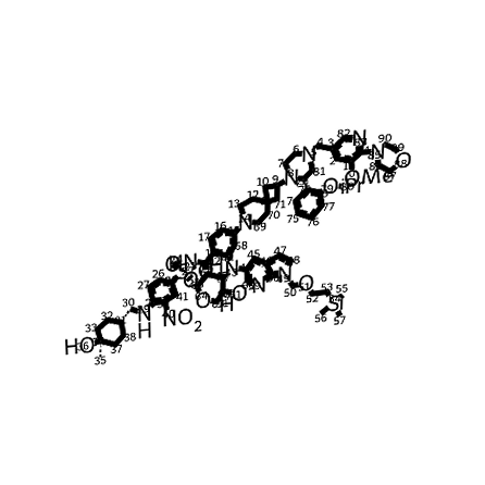 COc1cc(CN2CCN(C3CC4(CCN(c5ccc(C(=O)NS(=O)(=O)c6ccc(NC[C@H]7CC[C@](C)(O)CC7)c([N+](=O)[O-])c6)c(N6c7cc8ccn(COCC[Si](C)(C)C)c8nc7O[C@H]7COCC[C@@H]76)c5)CC4)C3)[C@@H](c3ccccc3OC(C)C)C2)cnc1N1CCOCC1